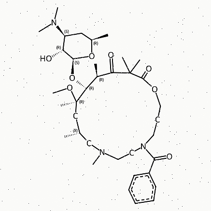 CO[C@]1(C)C[C@@H](C)CN(C)CCN(C(=O)c2ccccc2)CCCOC(=O)C(C)(C)C(=O)[C@H](C)[C@H]1O[C@@H]1O[C@H](C)C[C@H](N(C)C)[C@H]1O